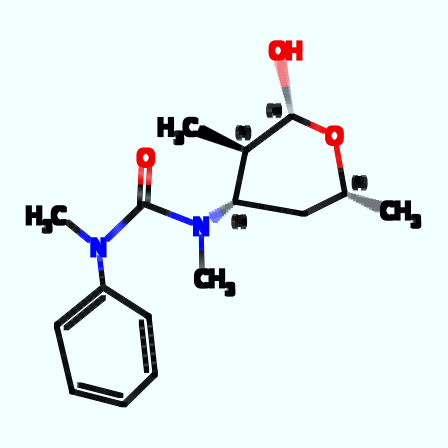 C[C@H]1[C@H](O)O[C@H](C)C[C@@H]1N(C)C(=O)N(C)c1ccccc1